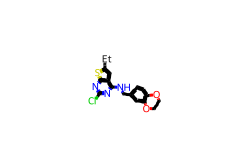 CCc1cc2c(NCc3ccc4c(c3)OCCO4)nc(Cl)nc2s1